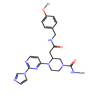 CCCNC(=O)N1CCN(c2ccnc(-n3ccnc3)n2)C(CC(=O)NCc2ccc(OCC)cc2)C1